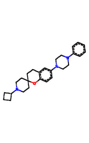 c1ccc(N2CCN(c3ccc4c(c3)CCC3(CCN(C5CCC5)CC3)O4)CC2)cc1